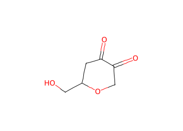 O=C1COC(CO)CC1=O